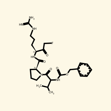 CC(C)C(NC(=O)OCc1ccccc1)C(=O)N1CCC[C@H]1C(=O)N[C@@H](CCCNC(=N)N)C(=O)CF